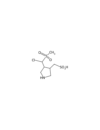 CS(=O)(=O)C(Cl)C1CNCC1CS(=O)(=O)O